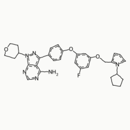 Nc1ncnc2c1c(-c1ccc(Oc3cc(F)cc(OCc4cccn4C4CCCC4)c3)cc1)nn2C1CCOCC1